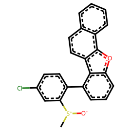 C[S+]([O-])c1cc(Cl)ccc1-c1cccc2oc3c4ccccc4ccc3c12